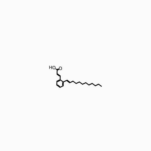 CCCCCCCCCC/C=C/c1ccccc1/C=C/C(=O)O